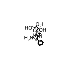 C[C@@]1(O)[C@H](O)[C@@H](CO)O[C@H]1n1cnc2c(-c3ccccc3)nc(N)nc21